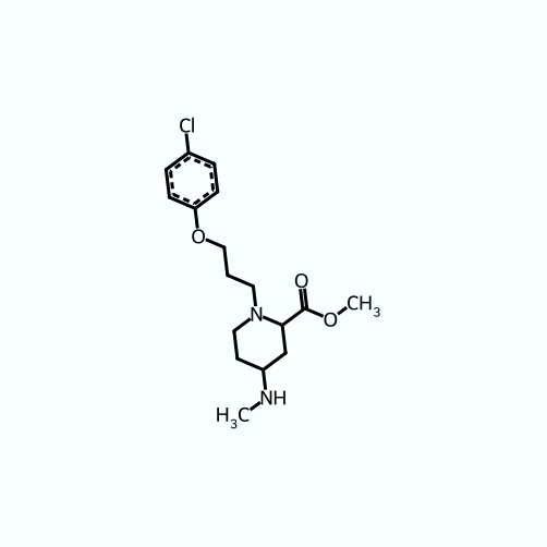 CNC1CCN(CCCOc2ccc(Cl)cc2)C(C(=O)OC)C1